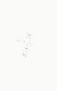 CN(C(=O)OC(C)(C)C)[C@@H]1[C@@H](O)[C@@H](O[C@@H]2[C@@H](O)[C@H](C3OC(CNS(=O)(=O)c4ccccc4[N+](=O)[O-])=CC[C@H]3N/C(=N/C(=O)OC(C)(C)C)NC(=O)OC(C)(C)C)[C@@H](NC(=O)OC(C)(C)C)C[C@H]2NC(=O)OC(C)(C)C)OC[C@]1(C)O